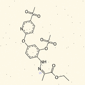 CCOC(=O)/C(C)=N\Nc1ccc(Oc2ccc(S(C)(=O)=O)cn2)cc1OS(C)(=O)=O